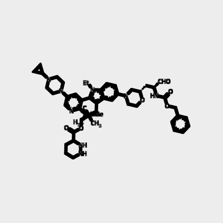 CCn1c(-c2cc(N3CCN(C4CC4)CC3)cnc2[C@H](C)OC)c(CC(C)(C)COC(=O)C2CCCNN2)c2cc(N3CCO[C@@H](C[C@@H](C=O)NC(=O)OCc4ccccc4)C3)ccc21